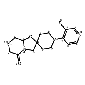 O=C1CNCC2OC3(CCN(c4ccncc4F)CC3)CN12